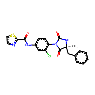 C[C@@]1(Cc2ccccc2)NC(=O)N(c2ccc(NC(=O)c3nccs3)cc2Cl)C1=O